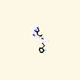 O=C(Cc1ccccc1F)Nc1nc(-c2ncnc3[nH]ccc23)cs1